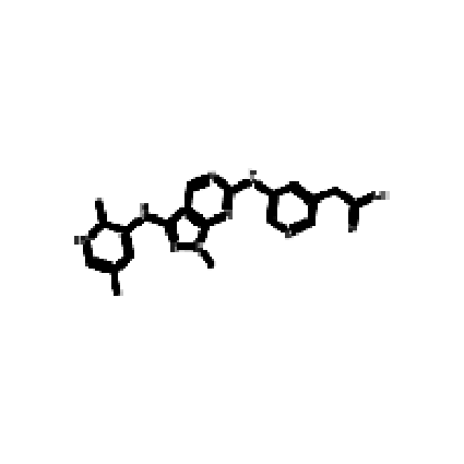 CC1=CNC(C)C(Nc2nn(C)c3nc(Nc4cncc(CC(=O)O)c4)ncc23)=C1